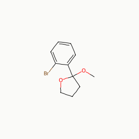 COC1(c2ccccc2Br)CCCO1